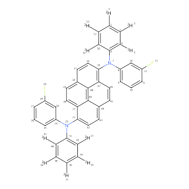 [2H]c1c([2H])c([2H])c(N(c2cccc(F)c2)c2ccc3ccc4c(N(c5cccc(F)c5)c5c([2H])c([2H])c([2H])c([2H])c5[2H])ccc5ccc2c3c54)c([2H])c1[2H]